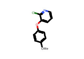 COc1ccc(Oc2cccnc2Cl)cc1